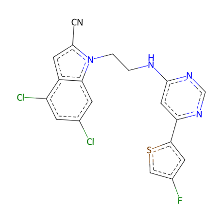 N#Cc1cc2c(Cl)cc(Cl)cc2n1CCNc1cc(-c2cc(F)cs2)ncn1